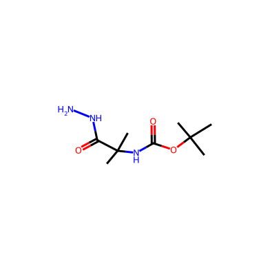 CC(C)(C)OC(=O)NC(C)(C)C(=O)NN